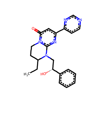 CCC1CCn2c(nc(-c3ccncn3)cc2=O)N1C[C@@H](O)c1ccccc1